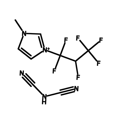 Cn1cc[n+](C(F)(F)C(F)C(F)(F)F)c1.N#CNC#N